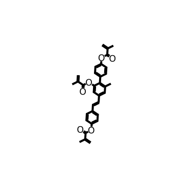 C=C(C)C(=O)Oc1ccc(/C=C/c2cc(C)c(-c3ccc(OC(=O)C(=C)C)cc3)c(OC(=O)C(=C)C)c2)cc1